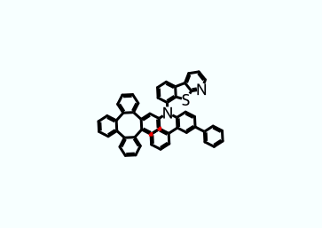 c1ccc(-c2ccc(N(c3ccc4c(c3)-c3ccccc3-c3ccccc3-c3ccccc3-4)c3cccc4c3sc3ncccc34)c(-c3ccccc3)c2)cc1